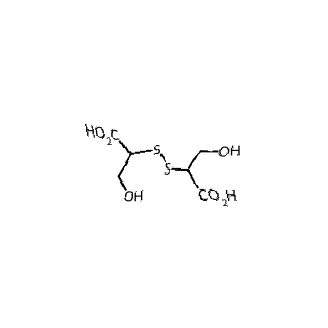 O=C(O)C(CO)SSC(CO)C(=O)O